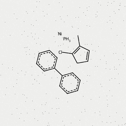 CC1=C(Cl)CC=C1.P.[Ni].c1ccc(-c2ccccc2)cc1